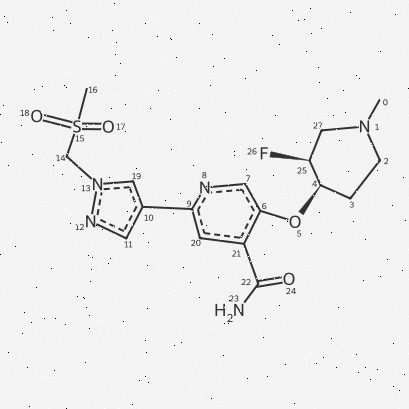 CN1CC[C@@H](Oc2cnc(-c3cnn(CS(C)(=O)=O)c3)cc2C(N)=O)[C@@H](F)C1